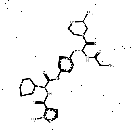 CCC(=O)N[C@H](Cc1ccc(NC(=O)[C@@H](NC(=O)c2ccnn2C)C2CCCCC2)cc1)C(=O)N1CCN[C@@H](C)C1